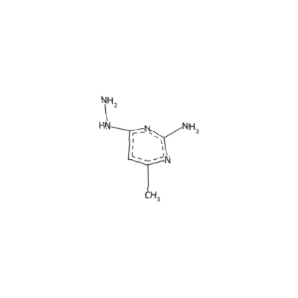 Cc1cc(NN)nc(N)n1